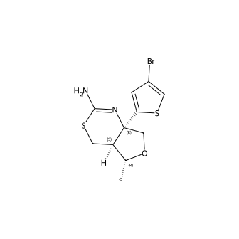 C[C@H]1OC[C@]2(c3cc(Br)cs3)N=C(N)SC[C@H]12